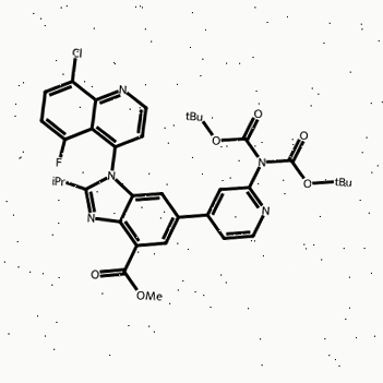 COC(=O)c1cc(-c2ccnc(N(C(=O)OC(C)(C)C)C(=O)OC(C)(C)C)c2)cc2c1nc(C(C)C)n2-c1ccnc2c(Cl)ccc(F)c12